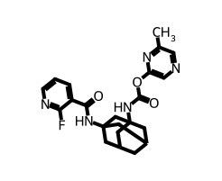 Cc1cncc(OC(=O)NC23CC4CC(C2)CC(NC(=O)c2cccnc2F)(C4)C3)n1